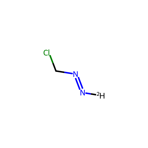 [2H]/N=N/CCl